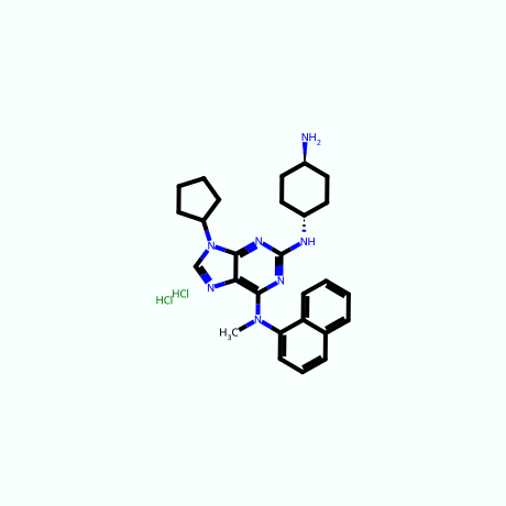 CN(c1cccc2ccccc12)c1nc(N[C@H]2CC[C@H](N)CC2)nc2c1ncn2C1CCCC1.Cl.Cl